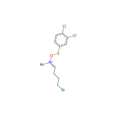 CC(=O)[N+](=CCCCBr)OSc1ccc(Cl)c(Cl)c1